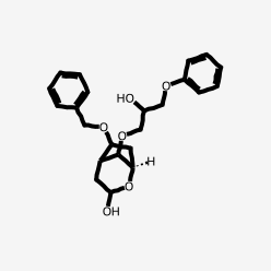 OC(COc1ccccc1)COC1C2CC(O)O[C@@H]1CC2OCc1ccccc1